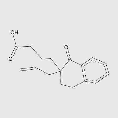 C=CCC1(CCCC(=O)O)CCc2ccccc2C1=O